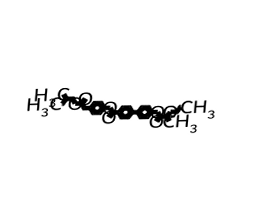 CCCOC(C)C(=O)Oc1ccc(-c2ccc(C(=O)Oc3ccc(CC(=O)OCC(C)CC)cc3)cc2)cc1